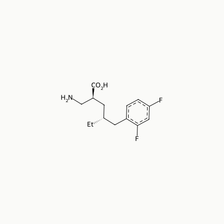 CC[C@@H](Cc1ccc(F)cc1F)C[C@@H](CN)C(=O)O